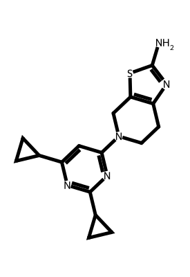 Nc1nc2c(s1)CN(c1cc(C3CC3)nc(C3CC3)n1)CC2